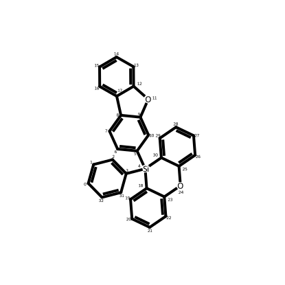 c1ccc([Si]2(c3ccc4c(c3)oc3ccccc34)c3ccccc3Oc3ccccc32)cc1